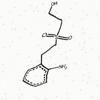 Nc1ccccc1CCS(=O)(=O)CCO